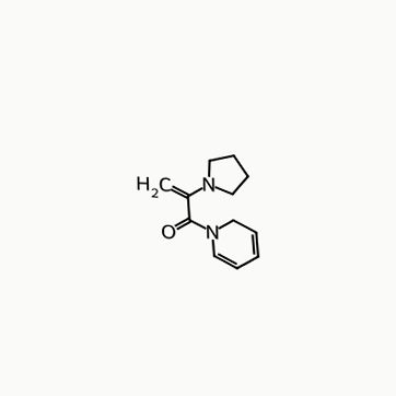 C=C(C(=O)N1C=CC=CC1)N1CCCC1